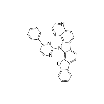 c1ccc(-c2ccnc(-n3c4c(ccc5nccnc54)c4ccc5c6ccccc6oc5c43)n2)cc1